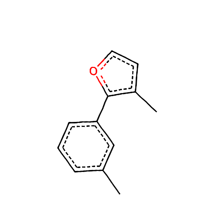 Cc1cccc(-c2occc2C)c1